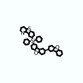 c1ccc([Si](c2ccccc2)(c2ccc3oc4ccc(-c5ccc6oc7ccccc7c6c5)cc4c3c2)c2ccc3sc4cccnc4c3c2)cc1